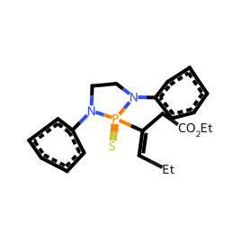 CC/C=C(\CC(=O)OCC)P1(=S)N(c2ccccc2)CCN1c1ccccc1